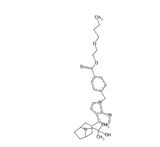 CCCCOCCOC(=O)c1ccc(Cn2ccc3c(C4CC5CCC(C4)N5CC(C)(C)O)ccnc32)cc1